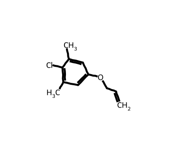 C=CCOc1cc(C)c(Cl)c(C)c1